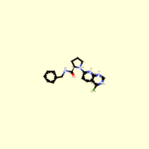 O=C(NCc1ccccc1)[C@H]1CCCN1c1ccc2c(Cl)ncnc2n1